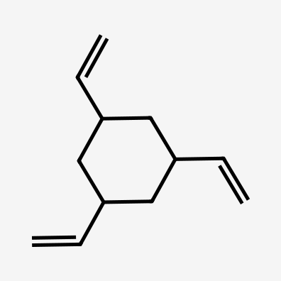 C=CC1CC(C=C)CC(C=C)C1